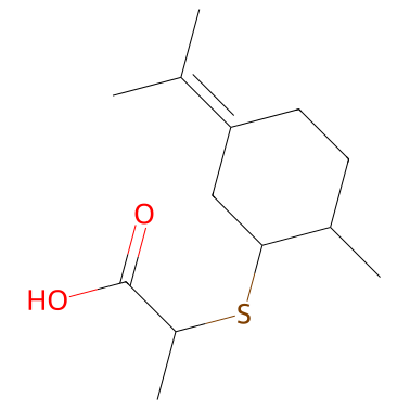 CC(C)=C1CCC(C)C(SC(C)C(=O)O)C1